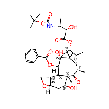 CC1=C2[C@@H](C)C(=O)[C@@]3(C)[C@H](C(OC(=O)c4ccccc4)[C@](O)(C[C@@H]1OC(=O)C(O)C(C)NC(=O)OC(C)(C)C)C2(C)C)[C@]1(C)CO[C@@H]1C[C@@H]3O